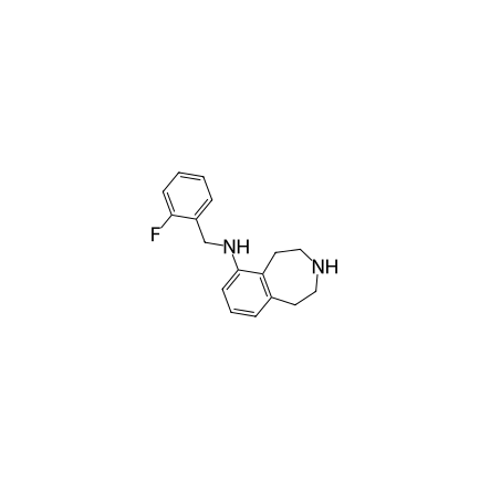 Fc1ccccc1CNc1cccc2c1CCNCC2